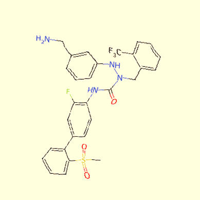 CS(=O)(=O)c1ccccc1-c1ccc(NC(=O)N(Cc2ccccc2C(F)(F)F)Nc2cccc(CN)c2)c(F)c1